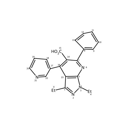 CCc1nn(CC)c2nc(-c3ccccc3)c(C(=O)O)c(-c3cccnc3)c12